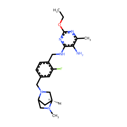 CCOc1nc(C)c(N)c(NCc2ccc(CN3C[C@@H]4CC3CN4C)cc2F)n1